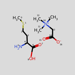 CSCCC(N)C(=O)O.C[N+](C)(C)CC(=O)[O-]